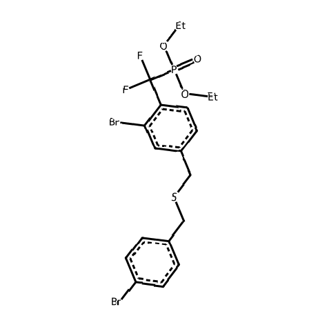 CCOP(=O)(OCC)C(F)(F)c1ccc(CSCc2ccc(Br)cc2)cc1Br